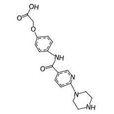 O=C(O)COc1ccc(NC(=O)c2ccc(N3CCNCC3)nc2)cc1